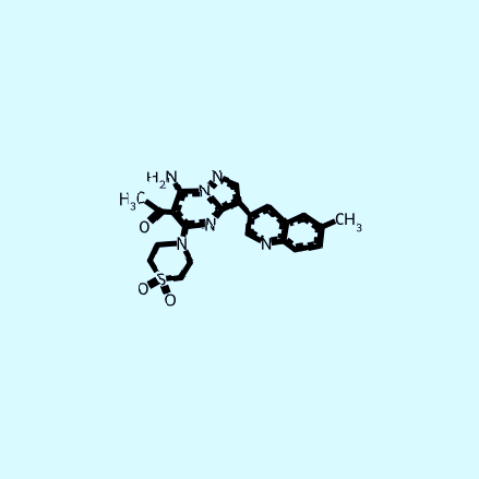 CC(=O)c1c(N2CCS(=O)(=O)CC2)nc2c(-c3cnc4ccc(C)cc4c3)cnn2c1N